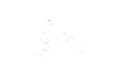 CCn1nc(C)cc1C(=O)Nc1nc2cc(C(N)=O)cnc2n1CC=CCn1c(N)nc2cc(C(N)=O)ccc21